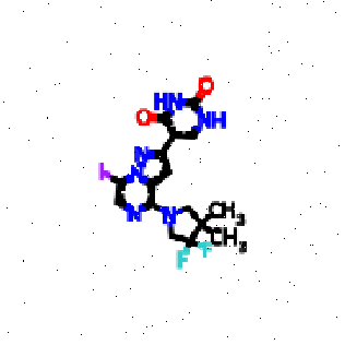 CC1(C)CN(c2ncc(I)n3nc(-c4c[nH]c(=O)[nH]c4=O)cc23)CC1(F)F